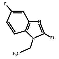 CCc1nc2cc(F)ccc2n1CC(F)(F)F